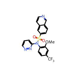 COc1cc(C(F)(F)F)ccc1N(c1cccnn1)S(=O)(=O)c1ccc2cnccc2c1